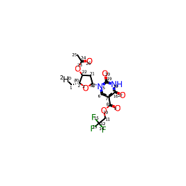 [2H]C[C@H]1O[C@@H](n2cc(C(=O)OCC(F)(F)F)c(=O)[nH]c2=O)CC1OC(C)=O